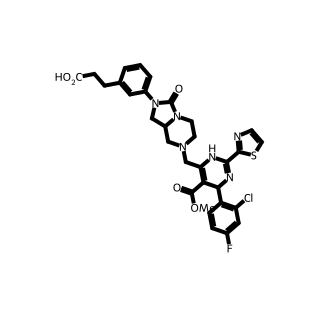 COC(=O)C1=C(CN2CCN3C(=O)N(c4cccc(CCC(=O)O)c4)CC3C2)NC(c2nccs2)=NC1c1ccc(F)cc1Cl